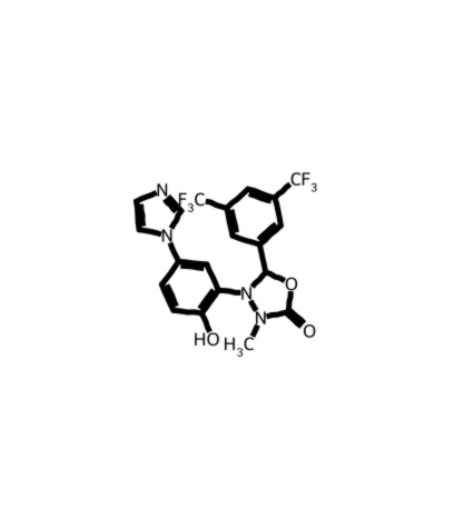 CN1C(=O)OC(c2cc(C(F)(F)F)cc(C(F)(F)F)c2)N1c1cc(-n2ccnc2)ccc1O